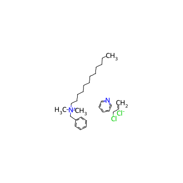 C=CCCl.CCCCCCCCCCCC[N+](C)(C)Cc1ccccc1.[Cl-].c1ccncc1